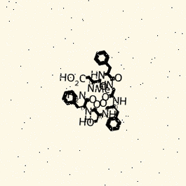 CN[C@@H](CC(=O)O)C(=O)NC(Cc1ccccc1)C(=O)NCC(=O)N[C@@H](Cc1ccccc1)C(=O)N[C@@H](CO)C(=O)N[C@@H](Cc1ccccc1)C(N)=O